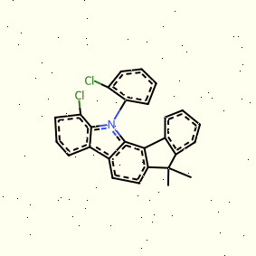 CC1(C)c2ccccc2-c2c1ccc1c3cccc(Cl)c3n(-c3ccccc3Cl)c21